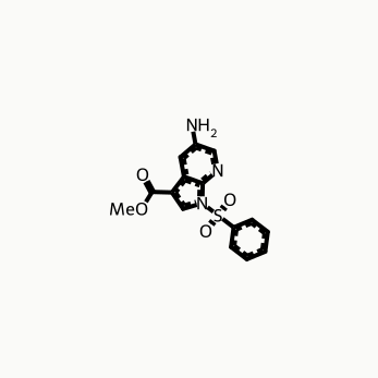 COC(=O)c1cn(S(=O)(=O)c2ccccc2)c2ncc(N)cc12